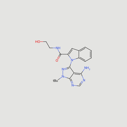 CC(C)(C)n1nc(-n2c(C(=O)NCCO)cc3ccccc32)c2c(N)ncnc21